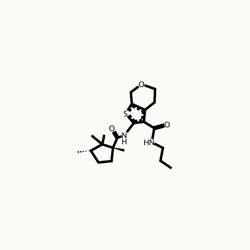 CCCNC(=O)c1c(NC(=O)[C@]2(C)CC[C@H](C)C2(C)C)sc2c1CCOC2